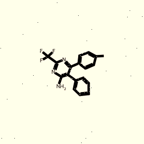 Cc1ccc(-c2nc(C(F)(F)F)nc(N)c2-c2ccccc2)cc1